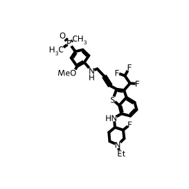 CCN1CCC(Nc2cccc3c(C(F)C(F)F)c(C#CCNc4ccc(P(C)(C)=O)cc4OC)sc23)C(F)C1